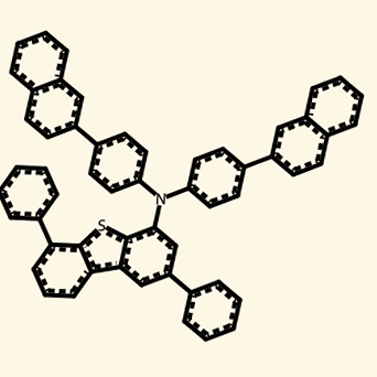 c1ccc(-c2cc(N(c3ccc(-c4ccc5ccccc5c4)cc3)c3ccc(-c4ccc5ccccc5c4)cc3)c3sc4c(-c5ccccc5)cccc4c3c2)cc1